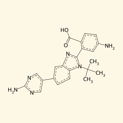 CC(C)(C)n1c(-c2cc(N)ccc2C(=O)O)nc2cc(-c3cnc(N)nc3)ccc21